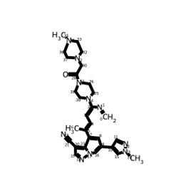 C=N/C(=C\C=C(/C)c1cc(-c2cnn(C)c2)cn2ncc(C#N)c12)N1CCN(C(=O)CN2CCN(C)CC2)CC1